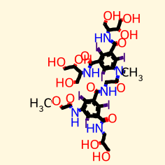 COCC(=O)Nc1c(I)c(C(=O)NCC(=O)N(C)c2c(I)c(C(=O)NC(CO)C(O)CO)c(I)c(C(=O)NC(CO)C(O)CO)c2I)c(I)c(C(=O)NCC(O)CO)c1I